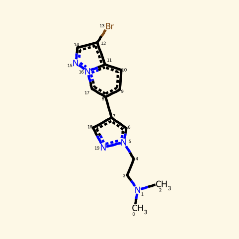 CN(C)CCn1cc(-c2ccc3c(Br)cnn3c2)cn1